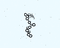 CC1(C)c2ccccc2-c2ccc(-c3ccc(N(c4ccccc4)c4ccc5c(c4)sc4ccc6c7ccc8ccccc8c7oc6c45)cc3)cc21